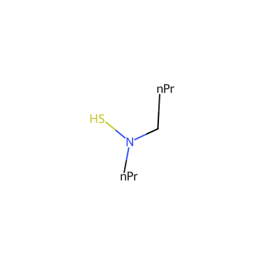 CCCCN(S)CCC